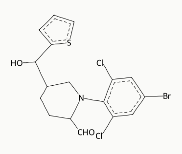 O=CC1CCC(C(O)c2cccs2)CN1c1c(Cl)cc(Br)cc1Cl